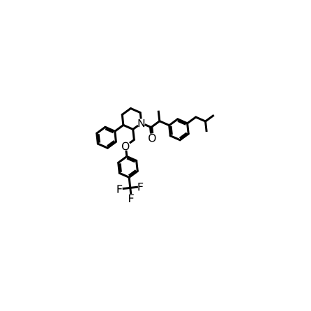 CC(C)Cc1cccc(C(C)C(=O)N2CCCC(c3ccccc3)C2COc2ccc(C(F)(F)F)cc2)c1